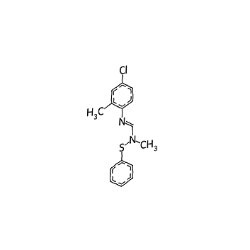 Cc1cc(Cl)ccc1N=CN(C)Sc1ccccc1